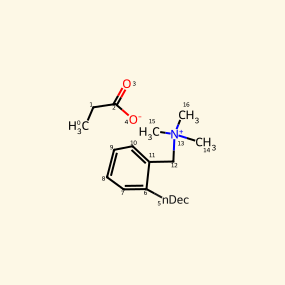 CCC(=O)[O-].CCCCCCCCCCc1ccccc1C[N+](C)(C)C